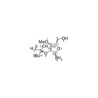 B[C@@H]1O[C@H](CO)[C@H](OC)C1O[Si](C)(C)C(C)(C)C